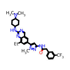 CCc1cc(-c2cc(NC(=O)Cc3cccc(C(F)(F)F)c3)nn2C)cc2cnc(NC3CCC(N(C)C)CC3)nc12